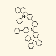 c1ccc(-c2ccc(N(c3cccc(-c4ccc5c6ccc7ccccc7c6n(-c6ccccc6)c5c4)c3)c3ccc4c(c3)C(c3ccccc3)(c3ccccc3)c3ccccc3-4)cc2)cc1